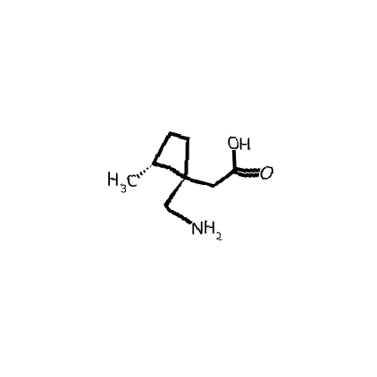 C[C@@H]1CC[C@]1(CN)CC(=O)O